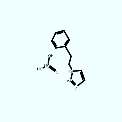 C1=C[SiH](CCc2ccccc2)[SiH]=[SiH]1.O=[PH](O)O